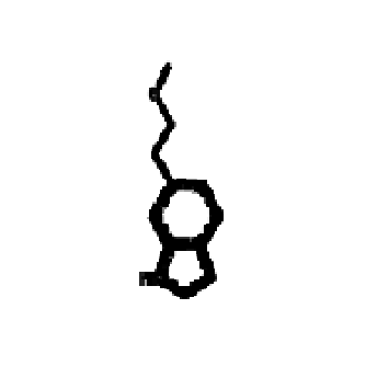 COCCc1ccc2cc[nH]c2c1